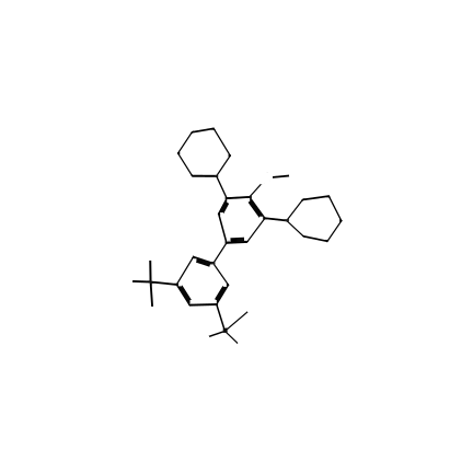 CSc1c(C2CCCCC2)cc(-c2cc(C(C)(C)C)cc(C(C)(C)C)c2)cc1C1CCCCC1